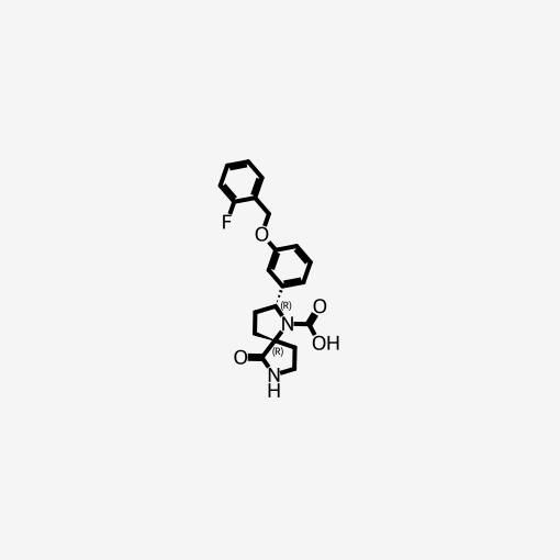 O=C(O)N1[C@@H](c2cccc(OCc3ccccc3F)c2)CC[C@]12CCNC2=O